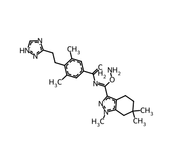 C=C(/N=C(\ON)c1nn(C)c2c1CCC(C)(C)C2)c1cc(C)c(CCc2nc[nH]n2)c(C)c1